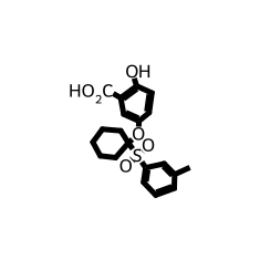 Cc1cccc(S(=O)(=O)C2(Oc3ccc(O)c(C(=O)O)c3)CCCCC2)c1